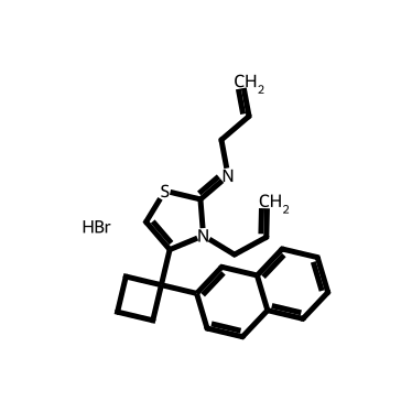 Br.C=CCN=c1scc(C2(c3ccc4ccccc4c3)CCC2)n1CC=C